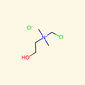 C[N+](C)(CCl)CCO.[Cl-]